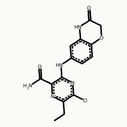 CCc1nc(C(N)=O)c(Nc2ccc3c(c2)NC(=O)CO3)nc1Cl